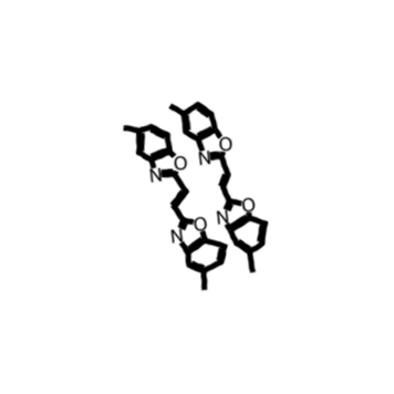 Cc1ccc2oc(C=Cc3nc4cc(C)ccc4o3)nc2c1.Cc1ccc2oc(C=Cc3nc4cc(C)ccc4o3)nc2c1